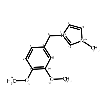 COc1ccc(C[n+]2ccn(C)c2)cc1OC